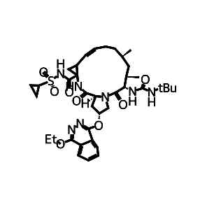 CCOc1nnc(O[C@@H]2C[C@H]3C(=O)NC4(C(=O)NS(=O)(=O)C5CC5)CC4/C=C\CC[C@@H](C)C[C@@H](C)[C@H](NC(=O)NC(C)(C)C)C(=O)N3C2)c2ccccc12